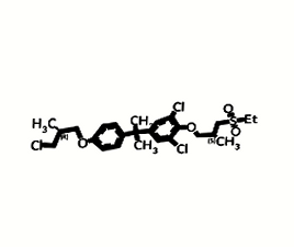 CCS(=O)(=O)C[C@@H](C)COc1c(Cl)cc(C(C)(C)c2ccc(OC[C@@H](C)CCl)cc2)cc1Cl